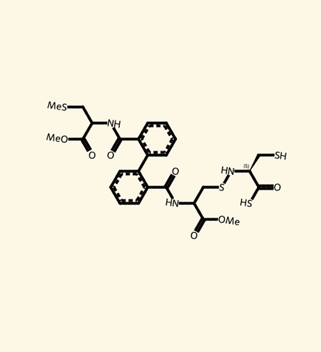 COC(=O)C(CSC)NC(=O)c1ccccc1-c1ccccc1C(=O)NC(CSN[C@@H](CS)C(=O)S)C(=O)OC